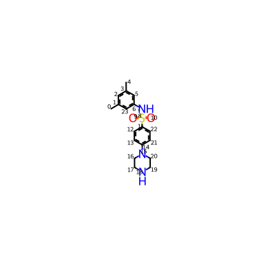 Cc1cc(C)cc(NS(=O)(=O)c2ccc(N3CCNCC3)cc2)c1